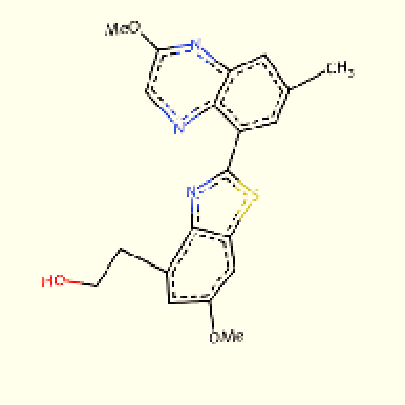 COc1cc(CCO)c2nc(-c3cc(C)cc4nc(OC)cnc34)sc2c1